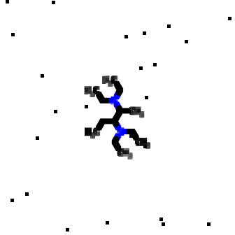 CCC(C(C)N(CC)CC)N(CC)CC